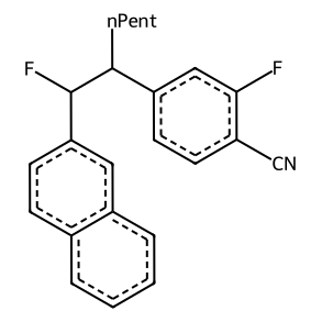 CCCCCC(c1ccc(C#N)c(F)c1)C(F)c1ccc2ccccc2c1